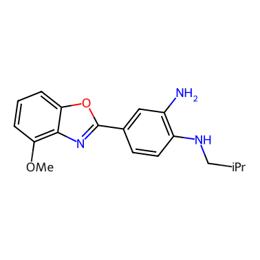 COc1cccc2oc(-c3ccc(NCC(C)C)c(N)c3)nc12